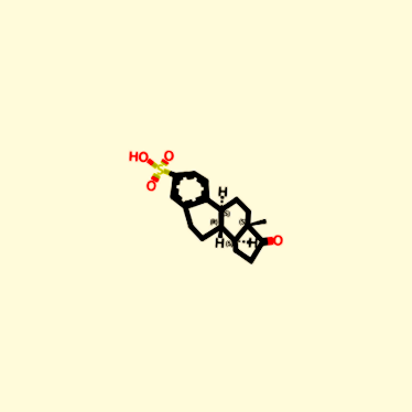 C[C@]12CC[C@@H]3c4ccc(S(=O)(=O)O)cc4CC[C@H]3[C@@H]1CCC2=O